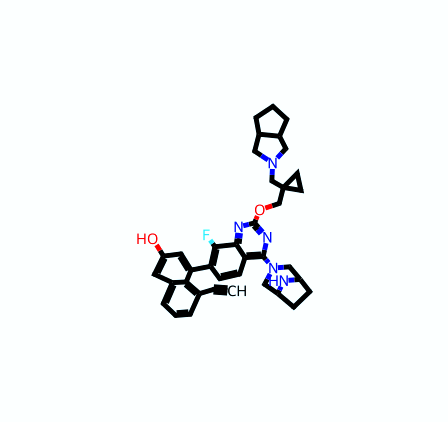 C#Cc1cccc2cc(O)cc(-c3ccc4c(N5CC6CCC(C5)N6)nc(OCC5(CN6CC7CCCC7C6)CC5)nc4c3F)c12